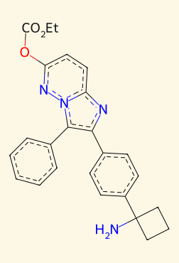 CCOC(=O)Oc1ccc2nc(-c3ccc(C4(N)CCC4)cc3)c(-c3ccccc3)n2n1